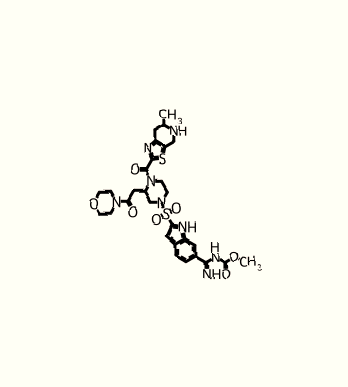 COC(=O)NC(=N)c1ccc2cc(S(=O)(=O)N3CCN(C(=O)c4nc5c(s4)CNC(C)C5)C(CC(=O)N4CCOCC4)C3)[nH]c2c1